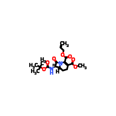 C=CCOC(=O)C1=C(C(=O)OC)CC[C@@H]2[C@H](NC(=O)OC(C)(C)C)C(=O)N12